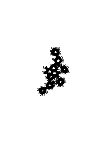 CC1c2cc3c4c(n(-c5ccccc5)c3c3c2-c2c(cc5c6cc(-c7ccccc7)ccc6n(-c6ccccc6)c5c2C(C)C3C)C1C)CCC(c1ccccc1)=C4